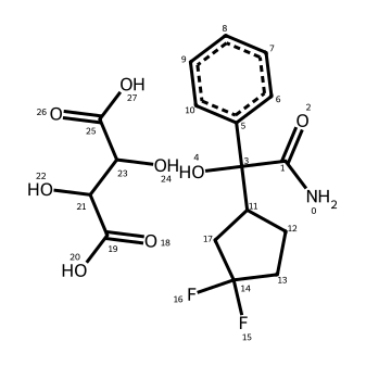 NC(=O)C(O)(c1ccccc1)C1CCC(F)(F)C1.O=C(O)C(O)C(O)C(=O)O